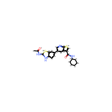 CC(=O)NC1Nc2ccc(-c3cnc4scc(C(=O)NC5CCCCC5)c4c3)cc2S1